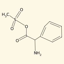 CS(=O)(=O)OC(=O)C(N)c1ccccc1